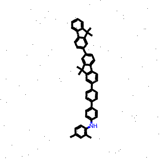 Cc1ccc(Nc2ccc(-c3ccc(-c4ccc5c(c4)C(C)(C)c4cc(-c6ccc7c(c6)C(C)(C)c6ccccc6-7)ccc4-5)cc3)cc2)c(C)c1